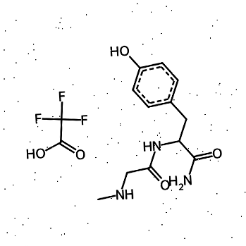 CNCC(=O)NC(Cc1ccc(O)cc1)C(N)=O.O=C(O)C(F)(F)F